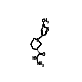 Cn1cc(N2CCC[C@@H](C(=O)NN)C2)cn1